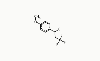 COc1ccc(C(Cl)CC(F)(F)F)cc1